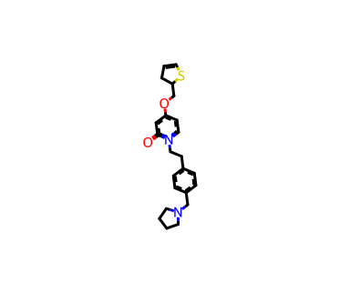 O=c1cc(OCC2CC=CS2)ccn1CCc1ccc(CN2CCCC2)cc1